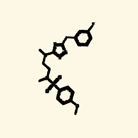 COc1ccc(S(=O)(=O)N(C)CCN(C)c2nc(Cc3cccc(F)c3)ns2)cc1